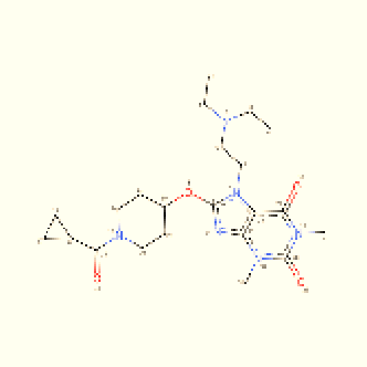 CCN(CC)CCn1c(OC2CCN(C(=O)C3CC3)CC2)nc2c1c(=O)n(C)c(=O)n2C